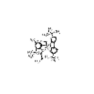 C=CCOc1c(C(C)(C)C)cc(C)cc1[Si](C)(CC)C1c2cc(C(C)(C)C)ccc2-c2ccc(C(C)(C)C)cc21